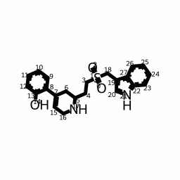 O=S(=O)(CCC1CC(c2ccccc2O)=CCN1)Cc1c[nH]c2ccccc12